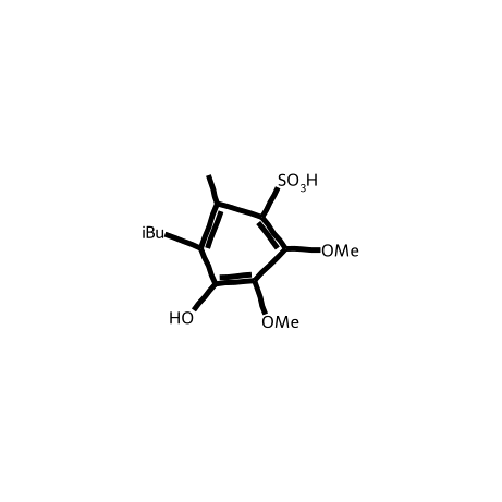 CCC(C)c1c(C)c(S(=O)(=O)O)c(OC)c(OC)c1O